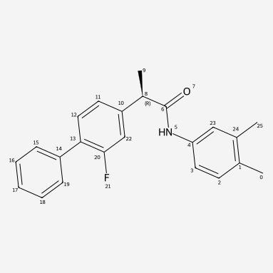 Cc1ccc(NC(=O)[C@H](C)c2ccc(-c3ccccc3)c(F)c2)cc1C